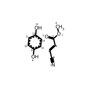 COC(=O)C=CC#N.Oc1ccc(O)cc1